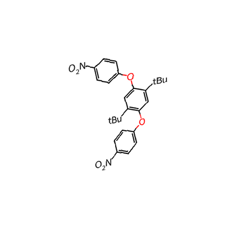 CC(C)(C)c1cc(Oc2ccc([N+](=O)[O-])cc2)c(C(C)(C)C)cc1Oc1ccc([N+](=O)[O-])cc1